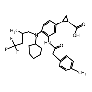 Cc1ccc(CC(=O)Nc2cc([C@H]3C[C@H]3C(=O)O)ccc2N(CC(C)CC(F)(F)F)C2CCCCC2)cc1